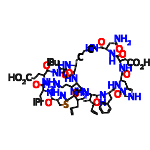 C=CCC(C)C(N)C1=NC(C(=O)NC(CC(C)C)C(=O)NC(CCC(=O)O)C(=O)NC(C(=O)NC2CCCCNC(=O)C(CC(N)=O)NC(=O)C(CC(=O)O)NC(=O)C(Cc3c[nH]cn3)NC(=O)C(Cc3ccccc3)NC(=O)C(C(C)CC=C)NC(=O)C(CCCN)NC2=O)C(C)CC)CS1